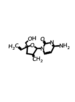 C=C[C@@]1(CO)CC(=C)C(n2ccc(N)nc2=O)O1